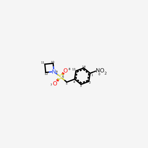 O=[N+]([O-])c1ccc(CS(=O)(=O)N2CCC2)cc1